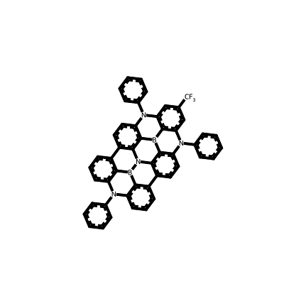 FC(F)(F)c1cc2c3c(c1)N(c1ccccc1)c1ccc4c5c1B3c1c(ccc3c1N5B1c5c-3cccc5N(c3ccccc3)c3cccc-4c31)N2c1ccccc1